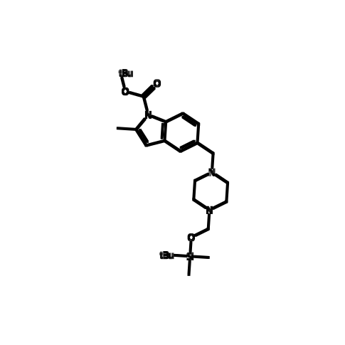 Cc1cc2cc(CN3CCN(CO[Si](C)(C)C(C)(C)C)CC3)ccc2n1C(=O)OC(C)(C)C